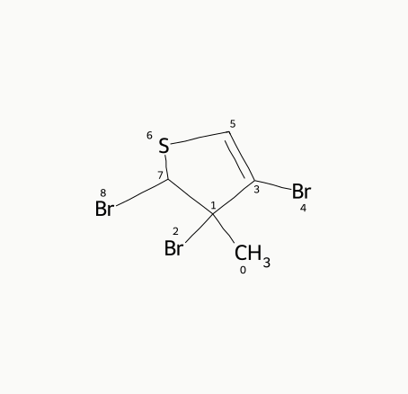 CC1(Br)C(Br)=CSC1Br